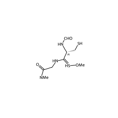 CNC(=O)CNC(=[SH]OC)[C@@H](CS)NC=O